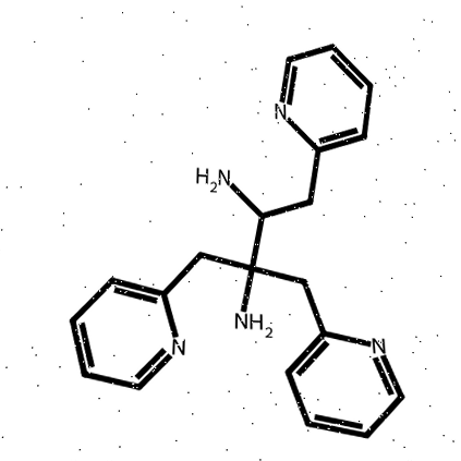 NC(Cc1ccccn1)C(N)(Cc1ccccn1)Cc1ccccn1